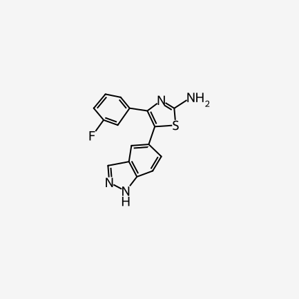 Nc1nc(-c2cccc(F)c2)c(-c2ccc3[nH]ncc3c2)s1